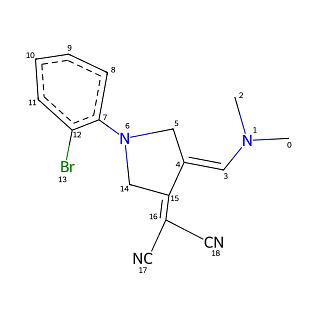 CN(C)C=C1CN(c2ccccc2Br)CC1=C(C#N)C#N